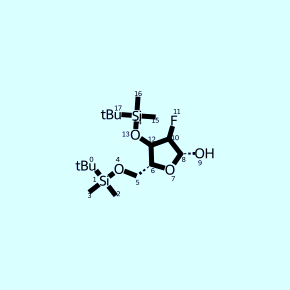 CC(C)(C)[Si](C)(C)OC[C@H]1O[C@@H](O)C(F)C1O[Si](C)(C)C(C)(C)C